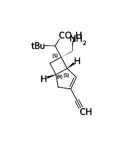 C#CC1=C[C@@H]2[C@H](C1)C[C@@]2(CN)C(C(=O)O)C(C)(C)C